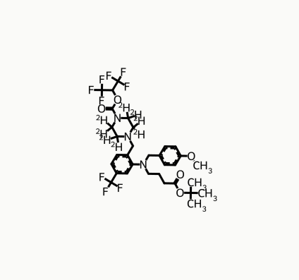 [2H]C1([2H])N(Cc2ccc(C(F)(F)F)cc2N(CCCC(=O)OC(C)(C)C)Cc2ccc(OC)cc2)C([2H])([2H])C([2H])([2H])N(C(=O)OC(C(F)(F)F)C(F)(F)F)C1([2H])[2H]